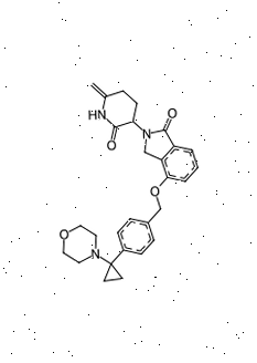 C=C1CCC(N2Cc3c(OCc4ccc(C5(N6CCOCC6)CC5)cc4)cccc3C2=O)C(=O)N1